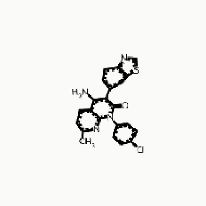 Cc1ccc2c(N)c(-c3ccc4ncsc4c3)c(=O)n(-c3ccc(Cl)cc3)c2n1